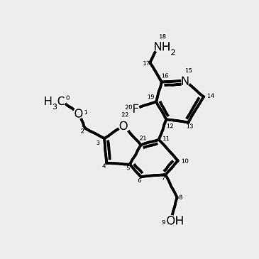 COCc1cc2cc(CO)cc(-c3ccnc(CN)c3F)c2o1